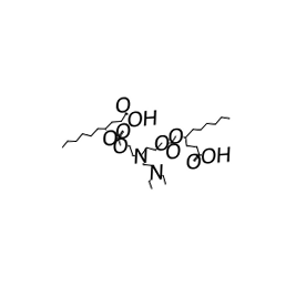 CCCCCCC(CCC(=O)O)OC(=O)OCCN(CCOC(=O)OC(CCCCCC)CCC(=O)O)CCN(CC)CC